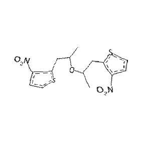 CC(Cc1sccc1[N+](=O)[O-])OC(C)Cc1sccc1[N+](=O)[O-]